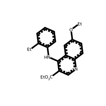 CCOC(=O)c1cnc2ccc(OCC)cc2c1Nc1ccccc1CC